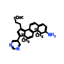 CCCCCCCCCCCCC1=C2C3=C(C=C[C@@]2(C)C(c2cncnc2)=C1)[C@]1(C)CC(N)=CC=C1C=C3